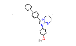 CCOc1ccc(N2C=C(c3ccc(-c4ccccc4)cc3)N3CCCCN=C32)cc1